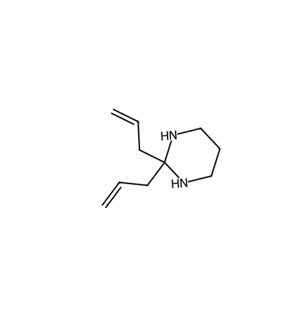 C=CCC1(CC=C)NCCCN1